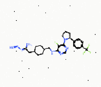 N=N/N=C(\N)CC1CCC(CNc2ncnc(N3CCCC3c3ccc(C(F)(F)F)cc3)c2F)CC1